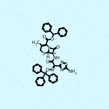 CC1=C(C(=O)OC(c2ccccc2)c2ccccc2)N2C(=O)[C@@H](NC(=O)/C(=N\OC(c3ccccc3)(c3ccccc3)c3ccccc3)c3nsc(N)n3)[C@H]2SC1